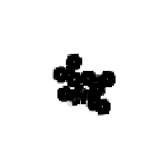 c1ccc(-n2c3ccccc3c3cc(-c4nc(-n5c6ccc7ccccc7c6c6cc7c8ccccc8n8c9ccccc9c(c65)c78)nc5sc6ccccc6c45)ccc32)cc1